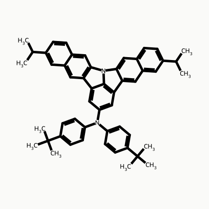 CC(C)c1ccc2cc3c(cc2c1)c1cc(N(c2ccc(C(C)(C)C)cc2)c2ccc(C(C)(C)C)cc2)cc2c4cc5cc(C(C)C)ccc5cc4n3c12